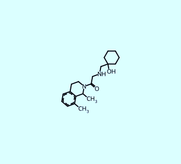 Cc1cccc2c1C(C)N(C(=O)CNCC1(O)CCCCC1)CC2